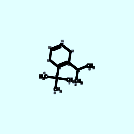 CC(C)C1=C(C(C)(C)C)CC=NC1